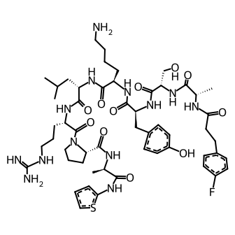 CC(C)C[C@H](NC(=O)[C@@H](CCCCN)NC(=O)[C@H](Cc1ccc(O)cc1)NC(=O)[C@H](CO)NC(=O)[C@H](C)NC(=O)CCc1ccc(F)cc1)C(=O)N[C@@H](CCCNC(=N)N)C(=O)N1CCC[C@H]1C(=O)N[C@H](C)C(=O)Nc1cccs1